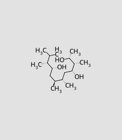 CC(C)[C@@H](C)[C@H](O)C[C@H](C)[C@@H](C)C[C@@H](O)[C@@H](C)[C@@H](C)O